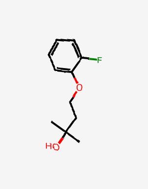 CC(C)(O)CCOc1ccccc1F